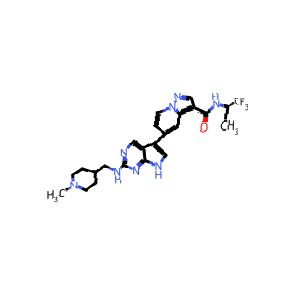 C[C@@H](NC(=O)c1cnn2ccc(-c3c[nH]c4nc(NCC5CCN(C)CC5)ncc34)cc12)C(F)(F)F